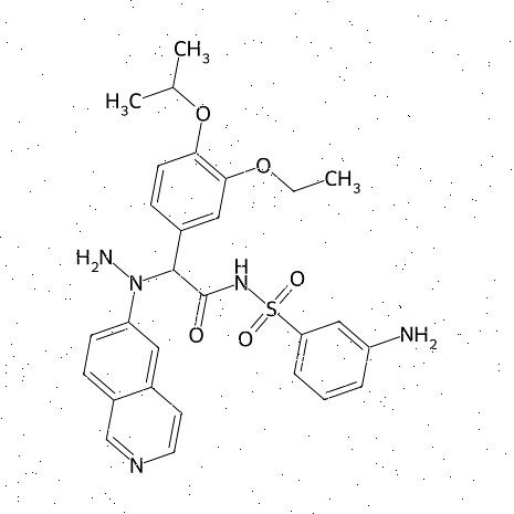 CCOc1cc(C(C(=O)NS(=O)(=O)c2cccc(N)c2)N(N)c2ccc3cnccc3c2)ccc1OC(C)C